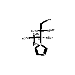 CCCCCCCCCCC(CCCCCCCCCC)(CCCCCCCCCC)[C@](CCCCCCCCCC)(n1ccnc1)C(CCCCCCCCCC)(CCCCCCCCCC)CC(C)C